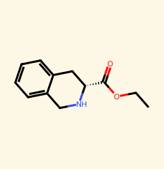 CCOC(=O)[C@H]1Cc2ccccc2CN1